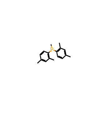 Cc1ccc(P(C)c2ccc(C)cc2C)c(C)c1